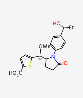 CCC(O)c1ccc(N2C(=O)CCC2[C@H](OC)c2ccc(C(=O)O)s2)cc1